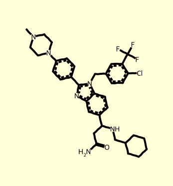 CN1CCN(c2ccc(-c3nc4cc(C(CC(N)=O)NCC5CCCCC5)ccc4n3Cc3ccc(Cl)c(C(F)(F)F)c3)cc2)CC1